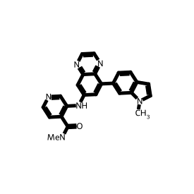 CNC(=O)c1ccncc1Nc1cc(-c2ccc3ccn(C)c3c2)c2nccnc2c1